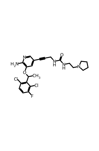 CC(Oc1cc(C#CCNC(=O)NCCN2CCCC2)cnc1N)c1c(Cl)ccc(F)c1Cl